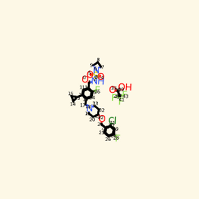 O=C(NS(=O)(=O)N1CCC1)c1cc(C2CC2)c(CN2CCC(OCc3ccc(F)cc3Cl)CC2)cc1F.O=C(O)C(F)(F)F